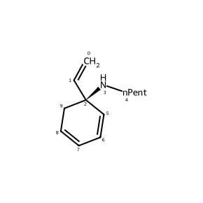 C=C[C@]1(NCCCCC)C=CC=CC1